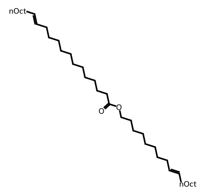 CCCCCCCC/C=C/CCCCCCCCCCCC(=O)OCCCCCCCC/C=C/CCCCCCCC